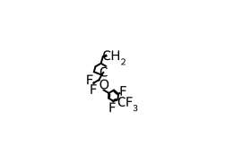 C=CC1CCC(C(OCc2cc(F)c(C(F)(F)F)c(F)c2)C(F)F)CC1